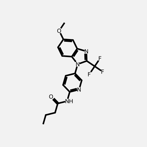 CCCC(=O)Nc1ccc(-n2c(C(F)(F)F)nc3cc(OC)ccc32)cn1